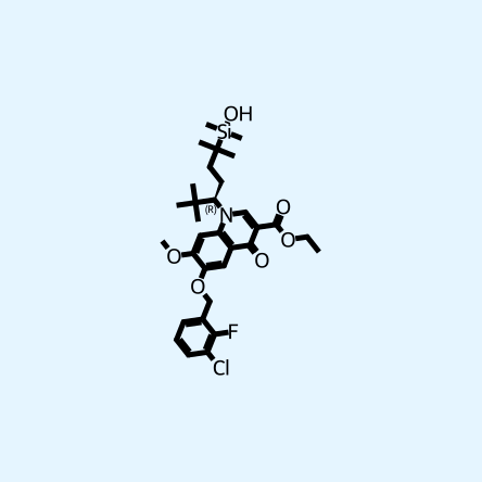 CCOC(=O)c1cn([C@H](CCC(C)(C)[Si](C)(C)O)C(C)(C)C)c2cc(OC)c(OCc3cccc(Cl)c3F)cc2c1=O